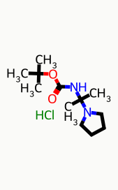 CC(C)(C)OC(=O)NC(C)(C)N1CCCC1.Cl